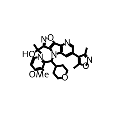 COc1cccnc1C(C1CCOCC1)n1c2cc(-c3c(C)noc3C)cnc2c2onc(C(C)(C)O)c21